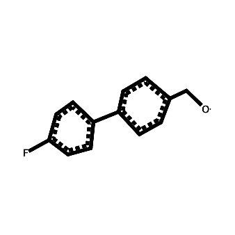 [O]Cc1ccc(-c2ccc(F)cc2)cc1